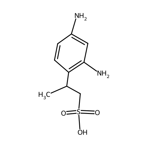 CC(CS(=O)(=O)O)c1ccc(N)cc1N